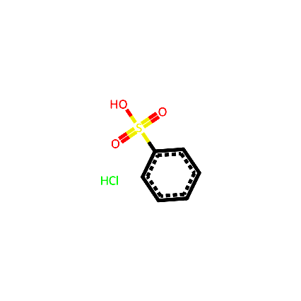 Cl.O=S(=O)(O)c1ccccc1